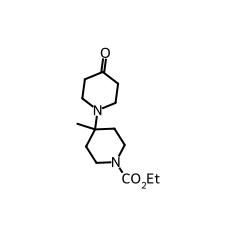 CCOC(=O)N1CCC(C)(N2CCC(=O)CC2)CC1